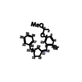 COC(C)Oc1ccc(Br)c(/C=C2/CCN(Cc3ccccc3)C2)c1